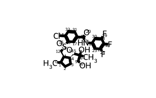 CC1CC[C@@H](CC(C)(O)CO)[C@@H]1CS(=O)(=O)c1cc(C(=O)Nc2cc(F)c(F)c(F)c2)ccc1Cl